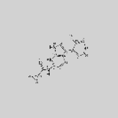 O=C(Nc1ccc2c(-c3ccccc3F)c[nH]c2n1)C1CC1